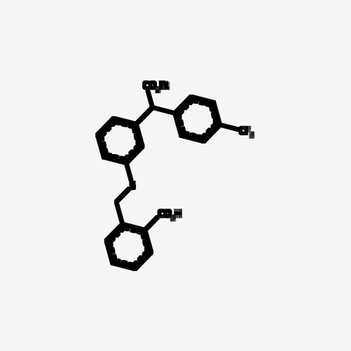 CCOC(=O)C(c1ccc(C(F)(F)F)cc1)c1cccc(SCc2ccccc2C(=O)O)c1